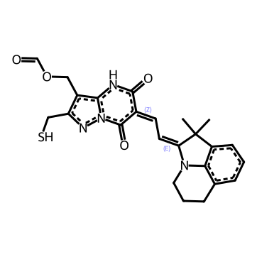 CC1(C)/C(=C\C=c2\c(=O)[nH]c3c(COC=O)c(CS)nn3c2=O)N2CCCc3cccc1c32